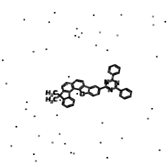 CC1(C)c2ccccc2-c2c1ccc1ccc3c4cc(-c5nc(-c6ccccc6)nc(-c6ccccc6)n5)ccc4oc3c21